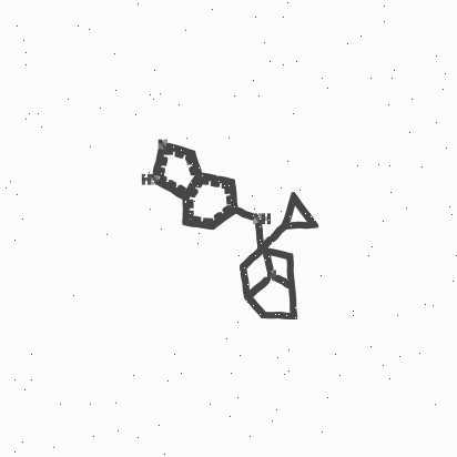 c1cc2[nH]ncc2cc1NC1CC2CCC(C1)N2CC1CC1